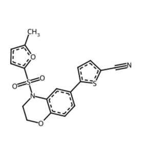 Cc1ccc(S(=O)(=O)N2CCOc3ccc(-c4ccc(C#N)s4)cc32)o1